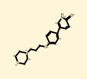 O=c1ccc(-c2ccc(OCCCN3CCOCC3)cc2)c[nH]1